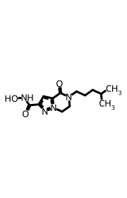 CC(C)CCCN1CCn2nc(C(=O)NO)cc2C1=O